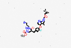 Cc1cn(COCC[Si](C)(C)C)c2nccc(Oc3ccc(CC(CNC(=O)OC(C)(C)C)C(=O)NCCCN(C)C)cc3F)c12